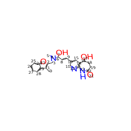 Cc1c(CN(C)C(O)/C=C/c2cnc3c(c2)C(O)CCC(=O)N3)oc2ccccc12